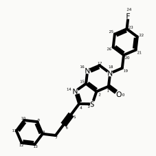 O=c1c2sc(C#CCc3ccccc3)nc2ncn1Cc1ccc(F)cc1